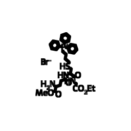 CCOC(=O)CNC(=O)C(C[SH]=CCCC[P+](c1ccccc1)(c1ccccc1)c1ccccc1)NC(=O)CCC(N)C(=O)OC.[Br-]